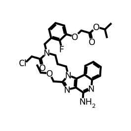 CCOCc1nc2c(N)nc3ccccc3c2n1CCCN(Cc1cccc(OCC(=O)OC(C)C)c1F)C(=O)CCl